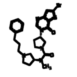 CN(C(=O)N1CC[C@H](n2cnc3cc(Br)sc3c2=O)C1)[C@H]1CCN(CCCc2ccccc2)C1